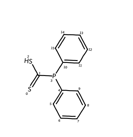 S=C(S)P(c1ccccc1)c1ccccc1